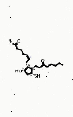 CCCCCC(=O)CC[C@@H]1[C@@H](C/C=C\CCCC(=O)OC)[C@@H](O)C[C@H]1S